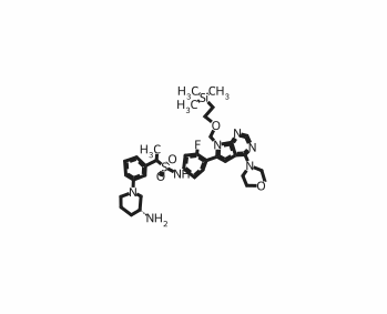 CC(c1cccc(N2CCC[C@@H](N)C2)c1)S(=O)(=O)Nc1ccc(-c2cc3c(N4CCOCC4)ncnc3n2COCC[Si](C)(C)C)c(F)c1